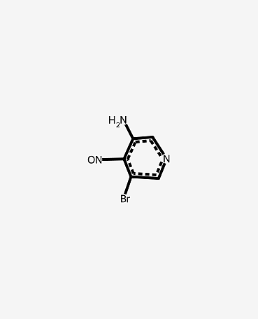 Nc1cncc(Br)c1N=O